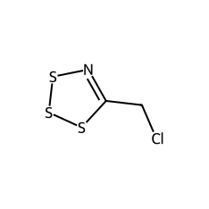 ClCC1=NSSS1